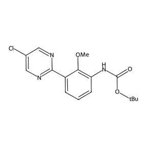 COc1c(NC(=O)OC(C)(C)C)cccc1-c1ncc(Cl)cn1